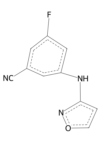 N#Cc1cc(F)cc(Nc2ccon2)c1